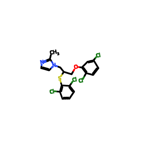 Cc1nccn1CC(COc1cc(Cl)ccc1Cl)Sc1c(Cl)cccc1Cl